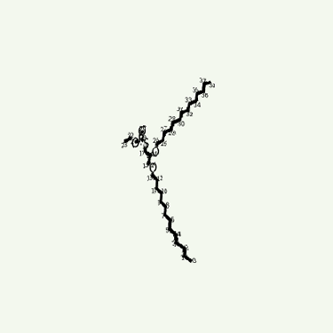 CCCCCCCCCCCCCCOCC(CS[P](=O)OCC)OCCCCCCCCCCCCCC